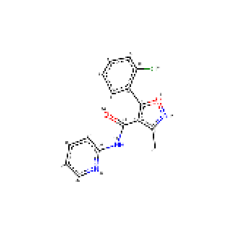 Cc1noc(-c2ccccc2Cl)c1C(=O)Nc1ccccn1